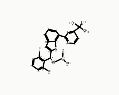 CC(C)(O)c1ccnc(-c2cccc3cc([C@H](N[S+]([O-])C(C)(C)C)c4c(F)cccc4Br)sc23)c1